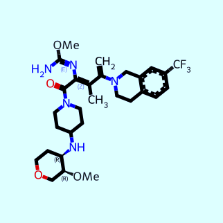 C=C(/C(C)=C(\N=C(/N)OC)C(=O)N1CCC(N[C@@H]2CCOC[C@@H]2OC)CC1)N1CCc2ccc(C(F)(F)F)cc2C1